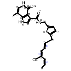 C\C=C/C(Cl)=C\C=C\Cc1ccc(CNC(=O)c2c[nH]c3c(C)c[nH]c(=O)c23)s1